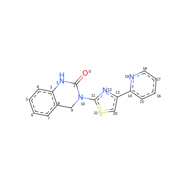 O=C1Nc2ccccc2CN1c1nc(-c2ccccn2)cs1